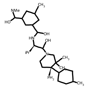 CNC(O)C1CC(C)CC(C(O)N[C@H](C(C)C)C(O)N2CC[C@@](P)(C3CCC(C)CC3)C(C)(C)C2)C1